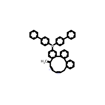 C=C1/C=C\C=C/Cc2ccccc2-c2ccccc2-c2cc(N(c3ccc(-c4ccccc4)cc3)c3ccc(-c4ccccc4)cc3)ccc21